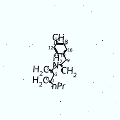 C=C(CCC)CC(=C)NC(=C)Cc1ccc(C)cc1